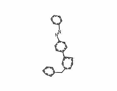 [c]1ccc(Cc2ccccc2)cc1-c1ccc(N=Nc2ccccc2)cc1